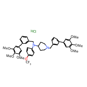 COc1cc(-c2cccc(CN3CCC(N(Cc4cccc(-c5cc(OC)c(OC)c(OC)c5)c4)c4ccc(OC(F)(F)F)cc4)CC3)c2)cc(OC)c1OC.Cl